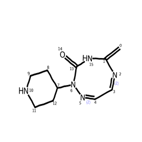 C=C1/N=C\C=N/N(C2CCNCC2)C(=O)N1